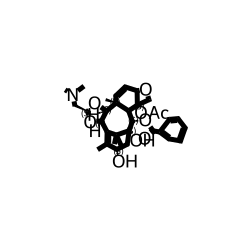 CC(=O)O[C@@]12COC1C=C[C@]1(C)C2[C@H](OC(=O)c2ccccc2)[C@]2(O)C[C@H](O)C(C)=C([C@H]3O[C@@H](CN(C)C)O[C@H]31)C2(C)C